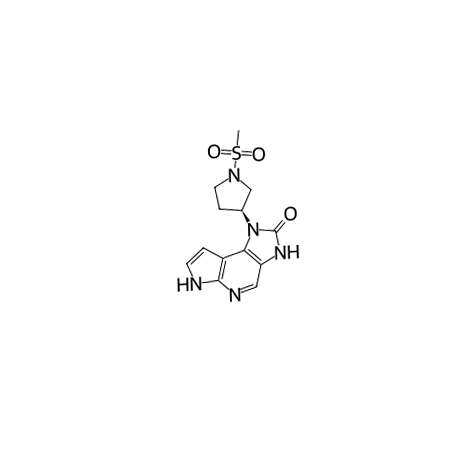 CS(=O)(=O)N1CC[C@H](n2c(=O)[nH]c3cnc4[nH]ccc4c32)C1